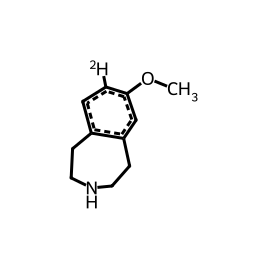 [2H]c1cc2c(cc1OC)CCNCC2